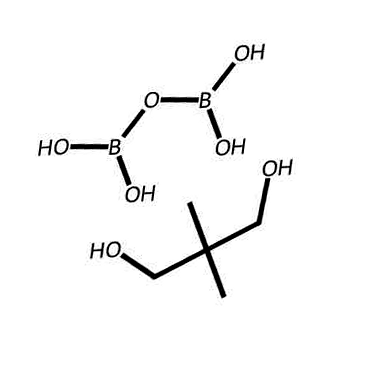 CC(C)(CO)CO.OB(O)OB(O)O